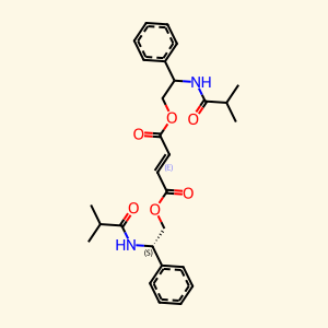 CC(C)C(=O)NC(COC(=O)/C=C/C(=O)OC[C@@H](NC(=O)C(C)C)c1ccccc1)c1ccccc1